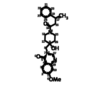 COc1ccc2c(=O)n(CC3(O)CCN(C(=O)CC(C)c4ccccc4)CC3)cnc2c1